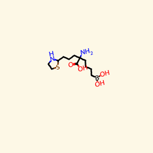 NC(CCCCB(O)O)(CCCC1NCCS1)C(=O)O